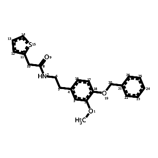 COc1cc(CCNC(=O)Cc2cccs2)ccc1OCc1ccccc1